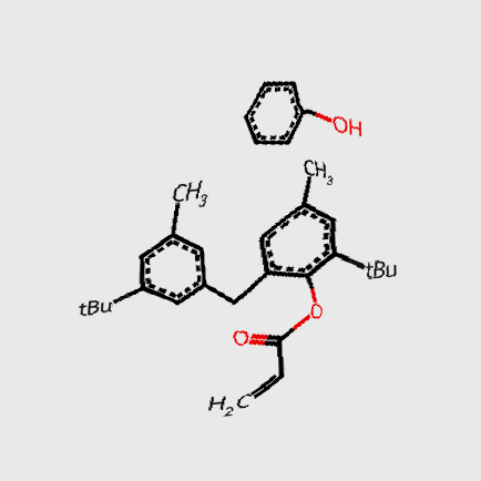 C=CC(=O)Oc1c(Cc2cc(C)cc(C(C)(C)C)c2)cc(C)cc1C(C)(C)C.Oc1ccccc1